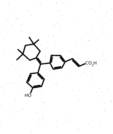 CC1(C)CC(=C(c2ccc(O)cc2)c2ccc(C=CC(=O)O)cc2)CC(C)(C)C1